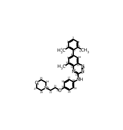 Cc1cccc(C)c1-c1cc(C)c2nc(Nc3ccc(OCCN4CCOCC4)cc3)nnc2c1